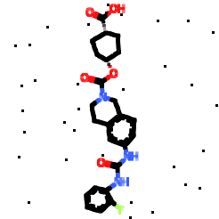 O=C(Nc1ccc2c(c1)CCN(C(=O)O[C@H]1CC[C@@H](C(=O)O)CC1)C2)Nc1ccccc1F